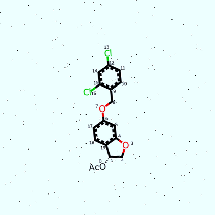 CC(=O)O[C@H]1COc2cc(OCc3ccc(Cl)cc3Cl)ccc21